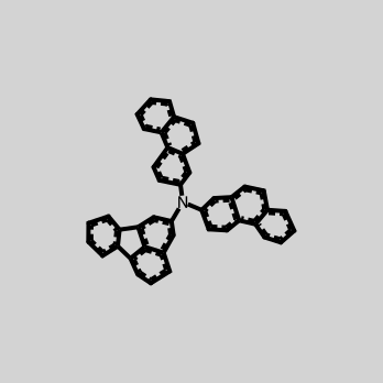 c1ccc2c(c1)-c1cccc3cc(N(c4ccc5c(ccc6ccccc65)c4)c4ccc5c(ccc6ccccc65)c4)cc-2c13